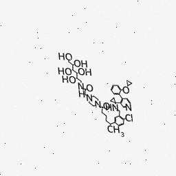 CC(CCCC(=O)N1CCN(CC(=O)NC[C@H](O)[C@@H](O)[C@H](O)[C@H](O)CO)CC1)c1ccc(Cl)c(CNC2(c3cnccc3-c3ccccc3OC3CC3)CC2)c1